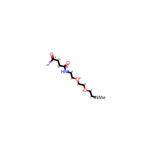 CNCCOCCOCCNC(=O)CCC(=O)I